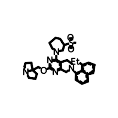 CCc1cccc2cccc(N3CCc4c(nc(OCC56CCCN5CCC6)nc4N4CCCCC(S(C)(=O)=O)C4)C3)c12